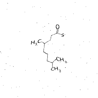 CC(C)CCCC(C)CCC(=O)[S]